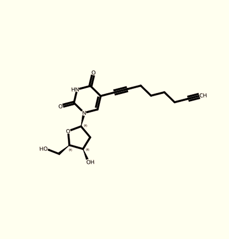 C#CCCCCC#Cc1cn([C@H]2C[C@@H](O)[C@@H](CO)O2)c(=O)[nH]c1=O